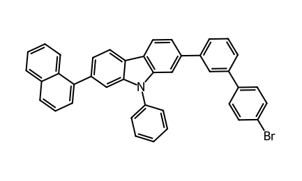 Brc1ccc(-c2cccc(-c3ccc4c5ccc(-c6cccc7ccccc67)cc5n(-c5ccccc5)c4c3)c2)cc1